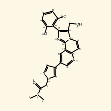 CN(C)C(=O)Cn1cc(-c2cnc3ccn4c(CO)c(-c5c(Cl)cccc5Cl)nc4c3c2)cn1